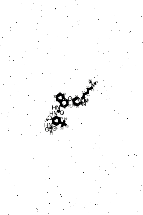 COc1c(NC(=O)N[C@H]2CC[C@@H](Oc3ccc4nnc(CCCCN(C)C)n4c3)c3ccccc32)cc(C(C)(C)C)cc1NS(C)(=O)=O